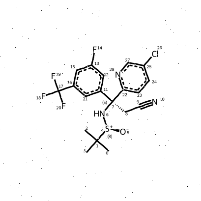 CC(C)(C)[S@+]([O-])N[C@@](CC#N)(c1cc(F)cc(C(F)(F)F)c1)c1ccc(Cl)cn1